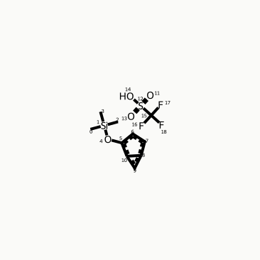 C[Si](C)(C)Oc1ccc2cc1-2.O=S(=O)(O)C(F)(F)F